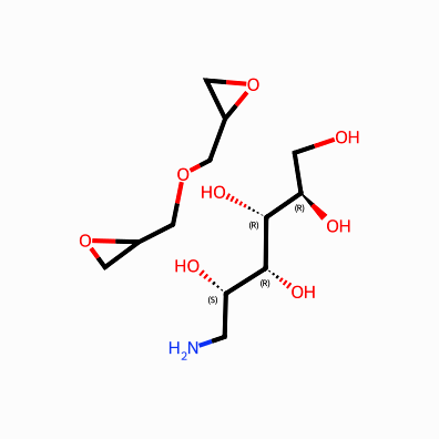 C(OCC1CO1)C1CO1.NC[C@H](O)[C@@H](O)[C@H](O)[C@H](O)CO